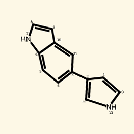 c1cc(-c2ccc3[nH]ccc3c2)c[nH]1